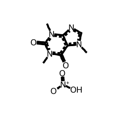 Cn1c(=O)c2c(ncn2C)n(C)c1=O.O=[N+]([O-])O